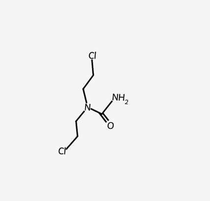 NC(=O)N(CCCl)CCCl